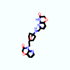 O=C1COc2ccc(CNC34CCC(CCN5C(=O)COc6cccnc65)(CC3)OC4)nc2N1